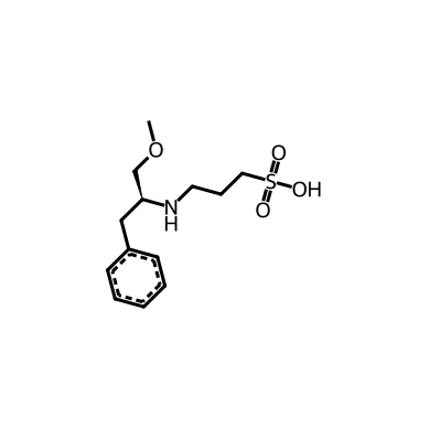 COC[C@H](Cc1ccccc1)NCCCS(=O)(=O)O